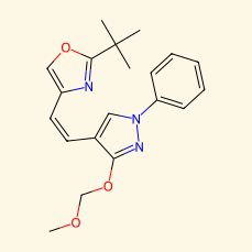 COCOc1nn(-c2ccccc2)cc1/C=C\c1coc(C(C)(C)C)n1